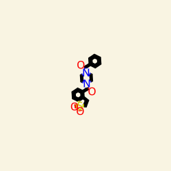 O=C(c1ccccc1)N1CCN(C(=O)c2cccc3c2C=CS3(=O)=O)CC1